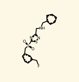 O=S(=O)(Cc1cccc(CF)c1)c1nc(CNCc2ccccc2)ns1